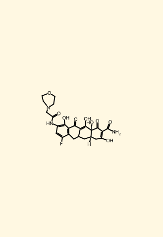 NC(=O)C1=C(O)C[C@@H]2CC3Cc4c(F)cc(NC(=O)CN5CCOCC5)c(O)c4C(=O)C3=C(O)[C@]2(O)C1=O